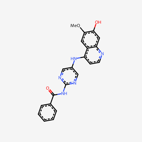 COc1cc2c(Nc3cnc(NC(=O)c4ccccc4)nc3)ccnc2cc1O